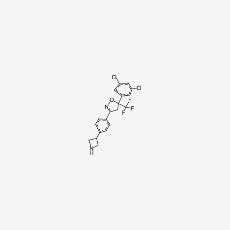 FC(F)(F)C1(c2cc(Cl)cc(Cl)c2)CC(c2ccc(C3CNC3)cc2)=NO1